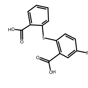 O=C(O)c1ccccc1Sc1ccc(F)cc1C(=O)O